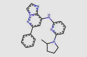 CC1CCCN1c1cccc(Nc2cc(-c3ccccc3)nn3ccnc23)n1